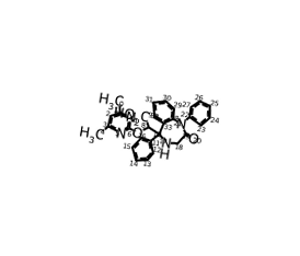 Cc1cc(C)nc(OC(C(=O)O)C2(c3ccccc3)NCC(=O)N(c3ccccc3)c3ccccc32)n1